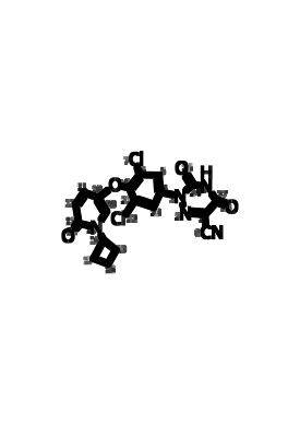 N#Cc1nn(-c2cc(Cl)c(Oc3ccc(=O)n(C4CCC4)c3)c(Cl)c2)c(=O)[nH]c1=O